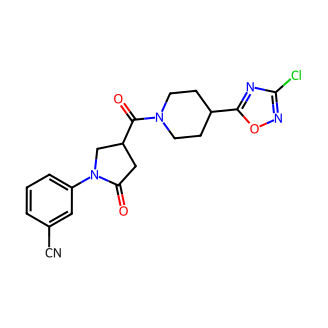 N#Cc1cccc(N2CC(C(=O)N3CCC(c4nc(Cl)no4)CC3)CC2=O)c1